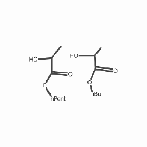 CCCCCOC(=O)C(C)O.CCCCOC(=O)C(C)O